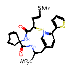 CSCCC(S)C(=O)NC1(C(=O)NC(Cc2ccc(-c3cccs3)nc2)C(=O)O)CCCC1